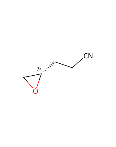 N#CCC[C@H]1CO1